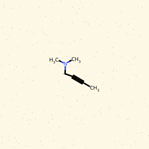 CC#C[CH]N(C)C